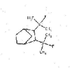 C[Si](C)(F)C1C2CCC(C2)C1[Si](C)(C)F